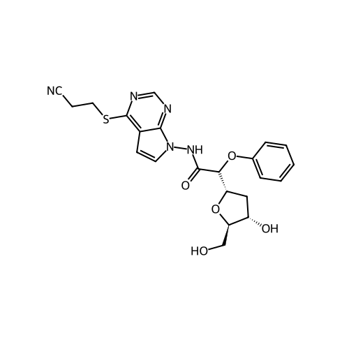 N#CCCSc1ncnc2c1ccn2NC(=O)C(Oc1ccccc1)[C@@H]1C[C@H](O)[C@@H](CO)O1